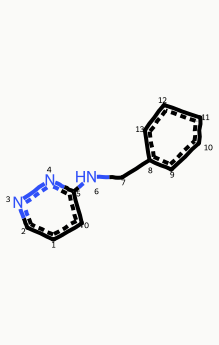 [c]1ccnnc1NCc1ccccc1